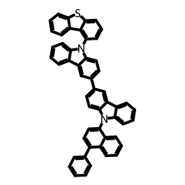 c1ccc(-c2ccc(-n3c4ccccc4c4cc(-c5ccc6c(c5)c5ccccc5n6-c5cccc6sc7ccccc7c56)ccc43)c3ccccc23)cc1